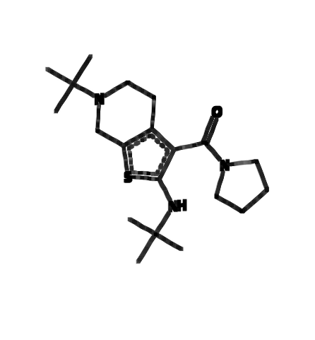 CC(C)(C)Nc1sc2c(c1C(=O)N1CCCC1)CCN(C(C)(C)C)C2